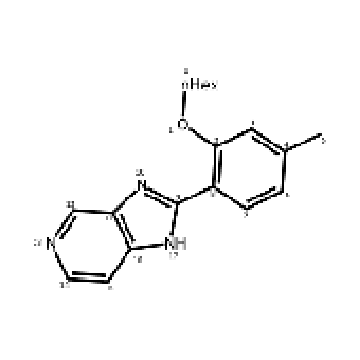 CCCCCCOc1cc(C)ccc1-c1nc2cnccc2[nH]1